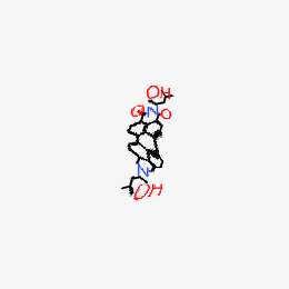 CC(C)CC(CO)N1Cc2ccc3c4ccc5c6c(ccc(c7ccc(c2c37)C1)c64)C(=O)N(C(CO)CC(C)C)C5=O